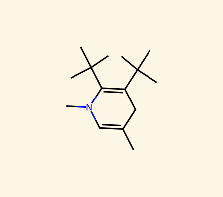 CC1=CN(C)C(C(C)(C)C)=C(C(C)(C)C)C1